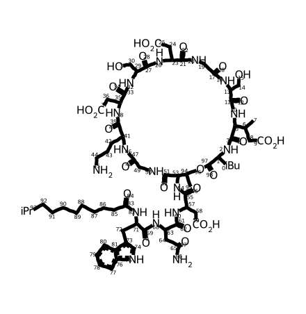 CCC(C)C1NC(=O)C(C(C)CC(=O)O)NC(=O)C(CO)NC(=O)CNC(=O)C(CC(=O)O)NC(=O)C(CO)NC(=O)C(CC(=O)O)NC(=O)C(CCCN)NC(=O)CNC(=O)C(NC(=O)C(CC(=O)O)NC(=O)C(CC(N)=O)NC(=O)C(Cc2c[nH]c3ccccc23)NC(=O)CCCCCCCCC(C)C)C(C)OC1=O